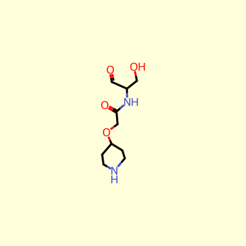 O=CC(CO)NC(=O)COC1CCNCC1